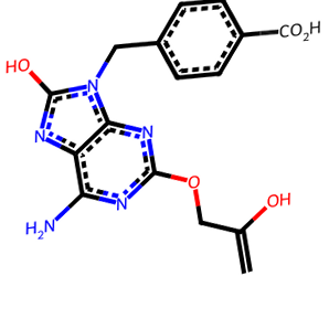 C=C(O)COc1nc(N)c2nc(O)n(Cc3ccc(C(=O)O)cc3)c2n1